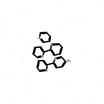 [Eu].c1ccc(-c2ccccn2)nc1.c1ccc(-c2ccccn2)nc1.c1ccncc1